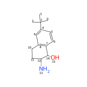 CC(C)(C)c1ccc2c(c1)CCC(N)C2O